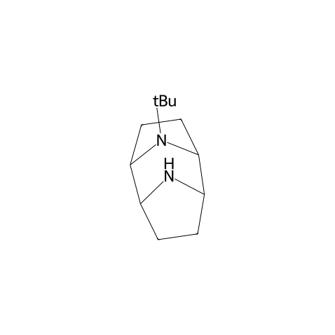 CC(C)(C)N1C2CCC1C1CCC2N1